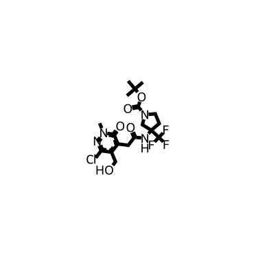 Cn1nc(Cl)c(CO)c(CC(=O)NC2(C(F)(F)F)CCN(C(=O)OC(C)(C)C)C2)c1=O